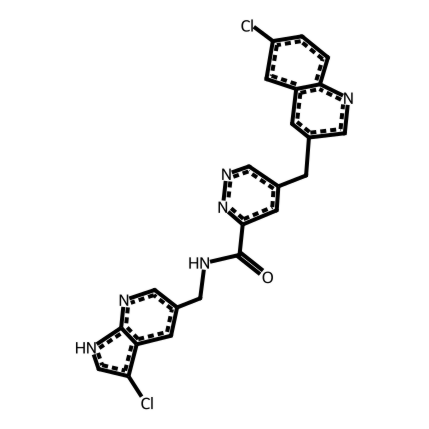 O=C(NCc1cnc2[nH]cc(Cl)c2c1)c1cc(Cc2cnc3ccc(Cl)cc3c2)cnn1